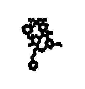 CCOC(=O)C(C)(C)c1ccc2[nH]c(-c3cc(C)cc(C)c3)c(C(C)CN(CCCCc3ccncc3)C(=O)OCc3ccccc3)c2c1